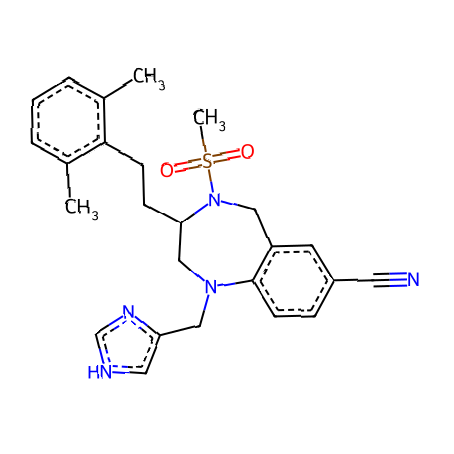 Cc1cccc(C)c1CCC1CN(Cc2c[nH]cn2)c2ccc(C#N)cc2CN1S(C)(=O)=O